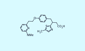 CNc1cccc(CCOc2ccc(CC(CC(=O)O)c3ncc(C)s3)cc2)n1